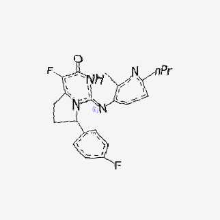 CCCc1ccc(/N=c2\[nH]c(=O)c(F)c3n2C(c2ccc(F)cc2)CC3)c(C)n1